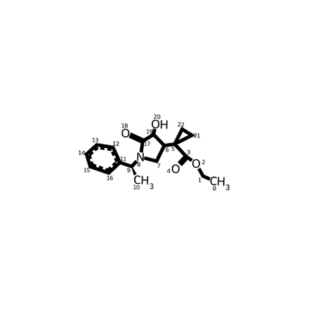 CCOC(=O)C1(C2CN([C@@H](C)c3ccccc3)C(=O)C2O)CC1